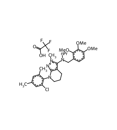 CCCN(Cc1ccc(OC)c(OC)c1OC)c1c2c(nn1C)N(c1c(C)cc(C)cc1Cl)CCC2.O=C(O)C(F)(F)F